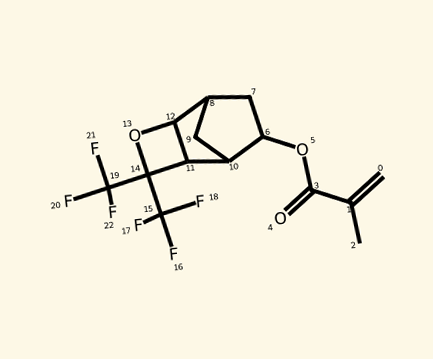 C=C(C)C(=O)OC1CC2CC1C1C2OC1(C(F)(F)F)C(F)(F)F